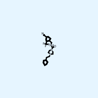 N#Cc1ccc(CNC(=O)N2CCN(CCc3ccccc3)CC2)c(C(F)(F)F)c1